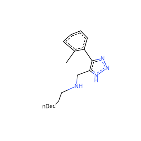 CCCCCCCCCCCCNCc1[nH]nnc1-c1ccccc1C